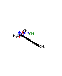 CCCCCCCCCCCCCCCCCCC(C#N)(OC(=O)[C@H](C)N)C(=O)[C@@H](C)N.Cl